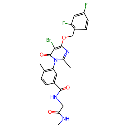 CNC(=O)CNC(=O)c1ccc(C)c(-n2c(C)nc(OCc3ccc(F)cc3F)c(Br)c2=O)c1